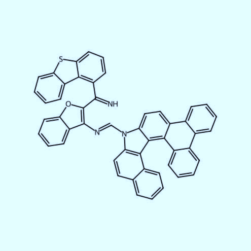 N=C(c1oc2ccccc2c1/N=C/n1c2ccc3ccccc3c2c2c3c4ccccc4c4ccccc4c3ccc21)c1cccc2sc3ccccc3c12